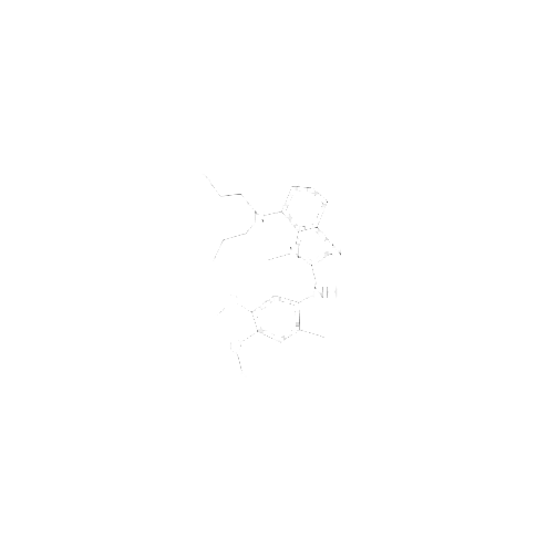 CCCN(CCC)c1cccc2nc(Nc3cc(OC)c(OC)cc3C)n(C)c12